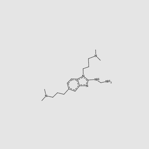 CN(C)CCCc1ccc2c(c1)nc(NCN)n2CCCN(C)C